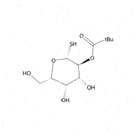 CC(C)(C)C(=O)O[C@H]1[C@H](O)[C@H](O)[C@H](CO)O[C@@H]1S